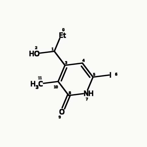 CCC(O)c1cc(I)[nH]c(=O)c1C